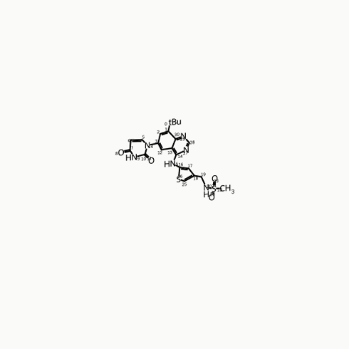 CC(C)(C)c1cc(-n2ccc(=O)[nH]c2=O)cc2c(Nc3cc(CNS(C)(=O)=O)cs3)ncnc12